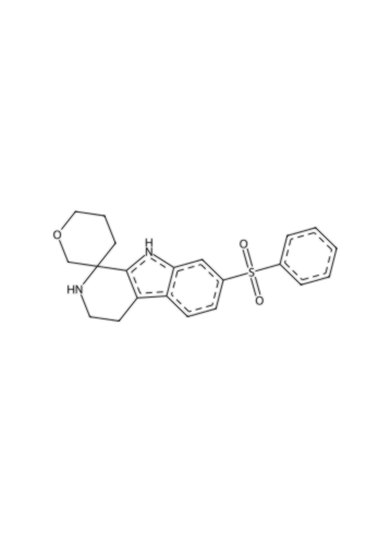 O=S(=O)(c1ccccc1)c1ccc2c3c([nH]c2c1)C1(CCCOC1)NCC3